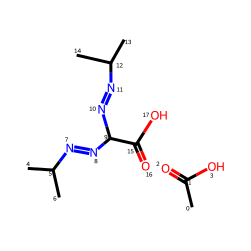 CC(=O)O.CC(C)N=NC(N=NC(C)C)C(=O)O